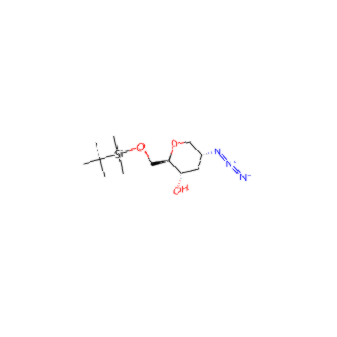 CC(C)(C)[Si](C)(C)OC[C@H]1OC[C@H](N=[N+]=[N-])C[C@@H]1O